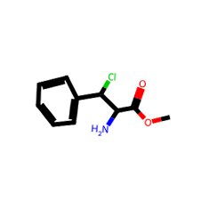 COC(=O)C(N)C(Cl)c1ccccc1